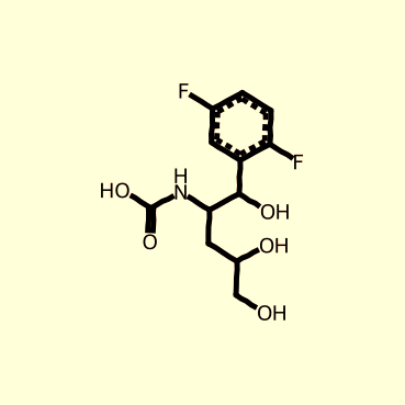 O=C(O)NC(CC(O)CO)C(O)c1cc(F)ccc1F